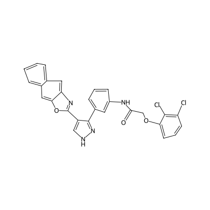 O=C(COc1cccc(Cl)c1Cl)Nc1cccc(-c2n[nH]cc2-c2nc3cc4ccccc4cc3o2)c1